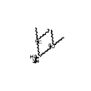 CCCCCCCCCC(CCCCCCC)OC(=O)CCCCCCCN(CCCCCCCC(=O)OC(CCCCCCC)CCCCCCCCC)CC(O)c1nccn1C